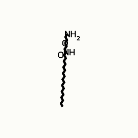 CCCCCCCCCCCCCCCCCC(=O)NCCOCCN